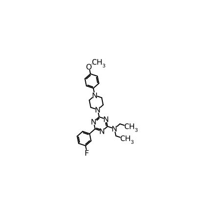 CCN(CC)c1nc(-c2cccc(F)c2)nc(N2CCN(c3ccc(OC)cc3)CC2)n1